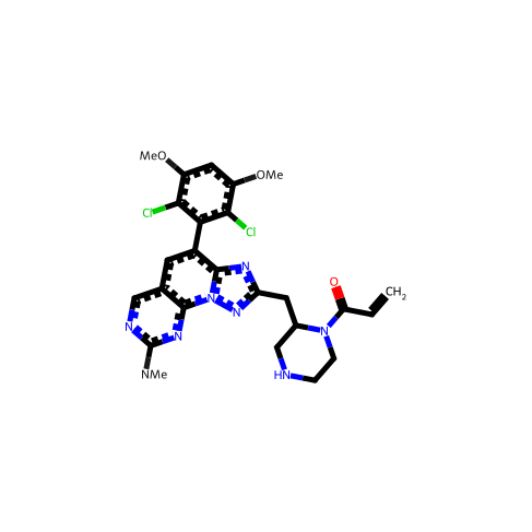 C=CC(=O)N1CCNCC1Cc1nc2c(-c3c(Cl)c(OC)cc(OC)c3Cl)cc3cnc(NC)nc3n2n1